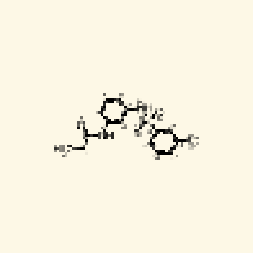 C=CC(=O)Nc1cccc(NS(=O)(=O)c2cccc(CC)c2)c1